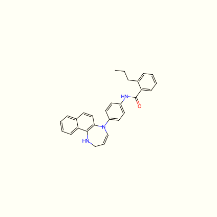 CCCc1ccccc1C(=O)Nc1ccc(N2C=CCNc3c2ccc2ccccc32)cc1